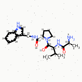 CC(C)[C@H](NC(=O)[C@H](C)N)C(=O)N1CCC[C@H]1C(=O)NCc1c[nH]c2ccccc12